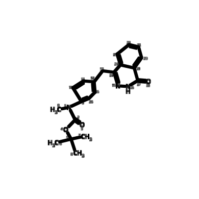 CN(C(=O)OC(C)(C)C)c1ccc(Cc2n[nH]c(=O)c3ccccc23)cc1